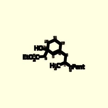 CCCCCC(C)CC1=CC(O)(CC(=O)OCC)CCC1